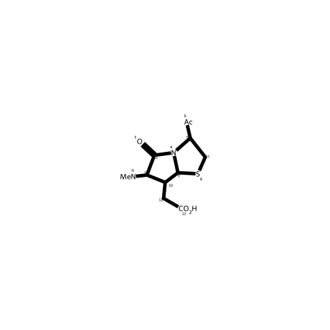 CNC1C(=O)N2C(C(C)=O)CSC2C1CC(=O)O